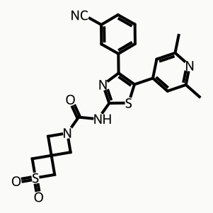 Cc1cc(-c2sc(NC(=O)N3CC4(C3)CS(=O)(=O)C4)nc2-c2cccc(C#N)c2)cc(C)n1